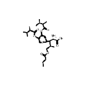 CCCC(=O)OCC(C)C(c1ccc(OC(=O)C(C)C(C)C)c(OC(=O)C(C)C(C)C)c1)[C@H](N)C(=O)O